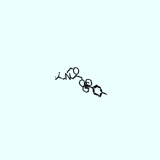 C[C](C)CN1CCOC(COS(=O)(=O)c2ccc(C)cc2)C1